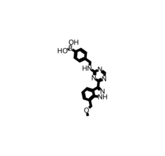 COCc1cccc2c(-c3ncnc(NCc4ccc(B(O)O)cc4)n3)n[nH]c12